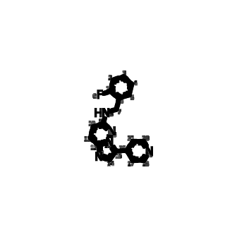 Fc1ccccc1CNc1ccc2ncc(-c3ccncc3)n2n1